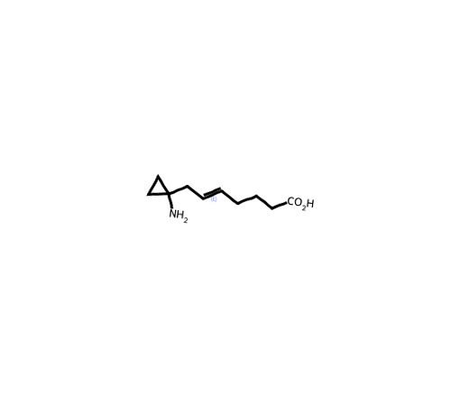 NC1(C/C=C/CCCC(=O)O)CC1